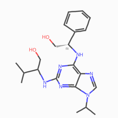 CC(C)C(CO)Nc1nc(N[C@H](CO)c2ccccc2)c2ncn(C(C)C)c2n1